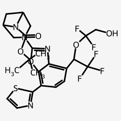 CC(C)(C)OC(=O)N1C2CC1CN(c1nc3c(C(OC(F)(F)CO)C(F)(F)F)ccc(-c4nccs4)c3o1)C2